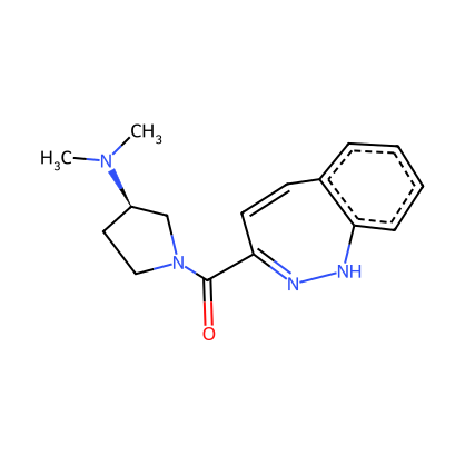 CN(C)[C@@H]1CCN(C(=O)C2=NNc3ccccc3C=C2)C1